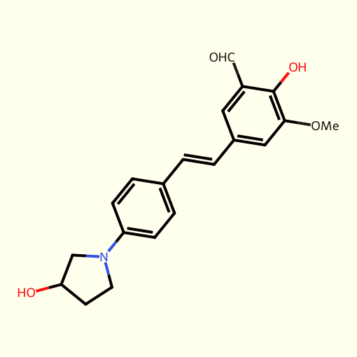 COc1cc(/C=C/c2ccc(N3CCC(O)C3)cc2)cc(C=O)c1O